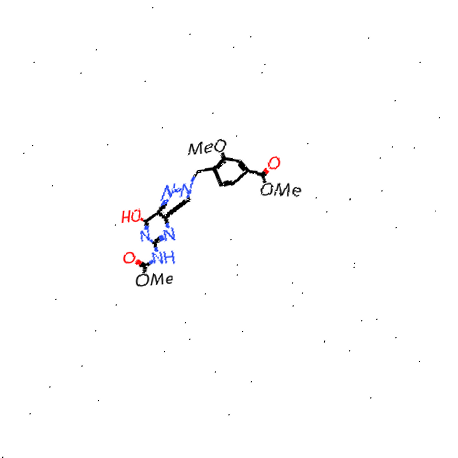 COC(=O)Nc1nc(O)c2nn(Cc3ccc(C(=O)OC)cc3OC)cc2n1